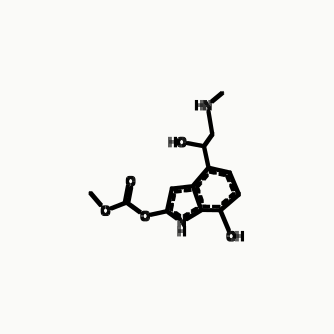 CNCC(O)c1ccc(O)c2[nH]c(OC(=O)OC)cc12